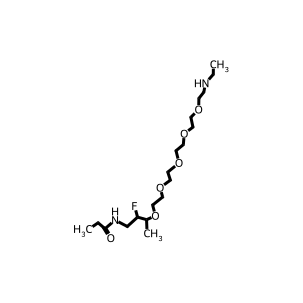 CCNCCOCCOCCOCCOCCOC(C)C(F)CNC(=O)CC